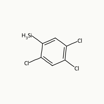 [SiH3]c1cc(Cl)c(Cl)cc1Cl